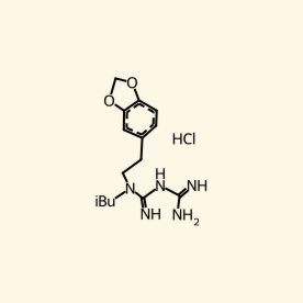 CCC(C)N(CCc1ccc2c(c1)OCO2)C(=N)NC(=N)N.Cl